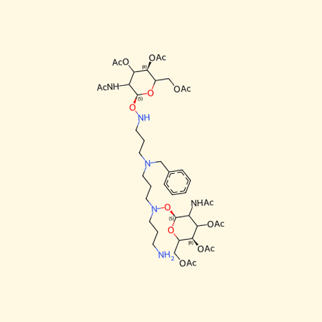 CC(=O)NC1C(OC(C)=O)[C@@H](OC(C)=O)C(COC(C)=O)O[C@H]1ONCCCN(CCCN(CCCN)O[C@@H]1OC(COC(C)=O)[C@H](OC(C)=O)C(OC(C)=O)C1NC(C)=O)Cc1ccccc1